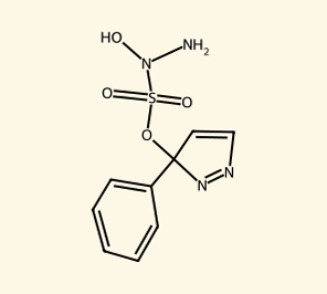 NN(O)S(=O)(=O)OC1(c2ccccc2)C=CN=N1